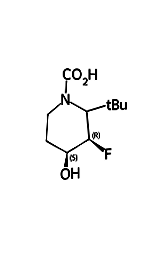 CC(C)(C)C1[C@@H](F)[C@@H](O)CCN1C(=O)O